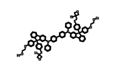 CCOCCOc1ccc(C2(c3ccc(SCC4(CC)COC4)cc3)c3ccccc3-c3ccc(N(c4ccccc4)c4ccc(-c5ccc(N(c6ccccc6)c6ccc7c(c6)C(c6ccc(OCCOCC)cc6)(c6ccc(SC8(CC)COC8)cc6)c6ccccc6-7)cc5)cc4)cc32)cc1